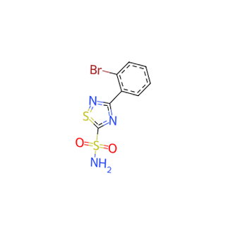 NS(=O)(=O)c1nc(-c2ccccc2Br)ns1